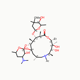 CC[C@H]1OC(=O)[C@H](C)[C@@H](O[C@H]2CC(C)(OC)[C@@H](O)C(C)O2)[C@H](C)[C@@H](O[C@@H]2OC(C)CC(N(C)C)C2O)[C@](C)(O)C[C@@H](C)CN(C(C)=O)[C@H](C)[C@@H](O)[C@]1(C)O